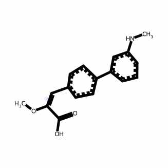 CNc1cccc(-c2ccc(/C=C(/OC)C(=O)O)cc2)c1